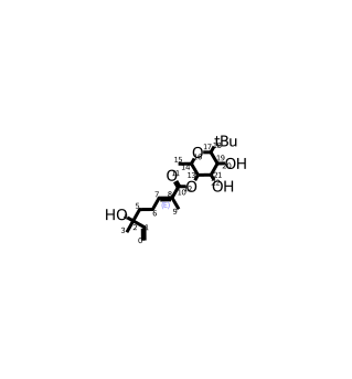 C=CC(C)(O)CC/C=C(\C)C(=O)OC1C(C)OC(C(C)(C)C)C(O)C1O